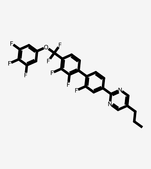 CCCc1cnc(-c2ccc(-c3ccc(C(F)(F)Oc4cc(F)c(F)c(F)c4)c(F)c3F)c(F)c2)nc1